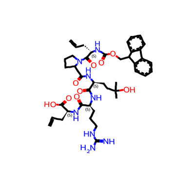 C=CC[C@H](NC(=O)[C@H](CCCNC(=N)N)NC(=O)[C@H](CCC(C)(C)O)NC(=O)C1CCCN1C(=O)[C@H](CC=C)NC(=O)OCC1c2ccccc2-c2ccccc21)C(=O)O